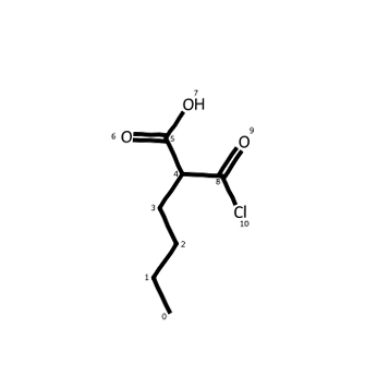 CCCCC(C(=O)O)C(=O)Cl